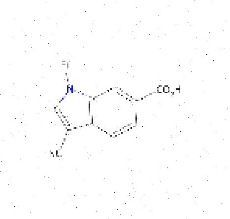 CCn1cc(C#N)c2ccc(C(=O)O)cc21